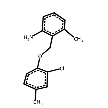 Cc1ccc(OCc2c(C)cccc2N)c(Cl)c1